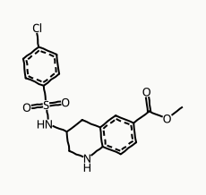 COC(=O)c1ccc2c(c1)CC(NS(=O)(=O)c1ccc(Cl)cc1)CN2